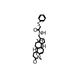 CN1C(=O)CC[C@@]2(C)C1=CC[C@@H]1[C@H]2CC[C@]2(C)C(CNC(=O)CSc3ccccc3)CC[C@@H]12